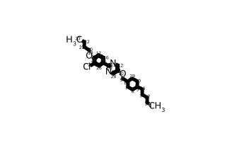 CCCCCC1CCC(COc2cnc(-c3ccc(OCCCC)c(Cl)c3)nc2)CC1